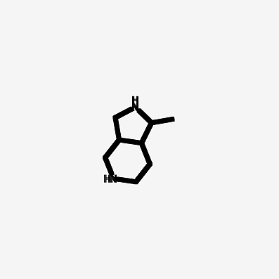 CC1NCC2CNCCC21